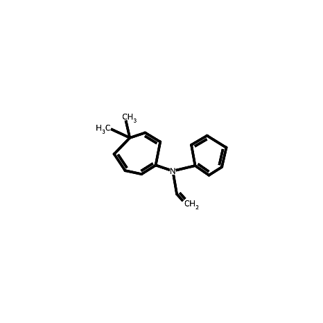 C=CN(C1=CC=CC(C)(C)C=C1)c1ccccc1